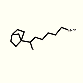 [CH2]C(CCCCCCCCCCCCCC)C12CCC(CC1)C2